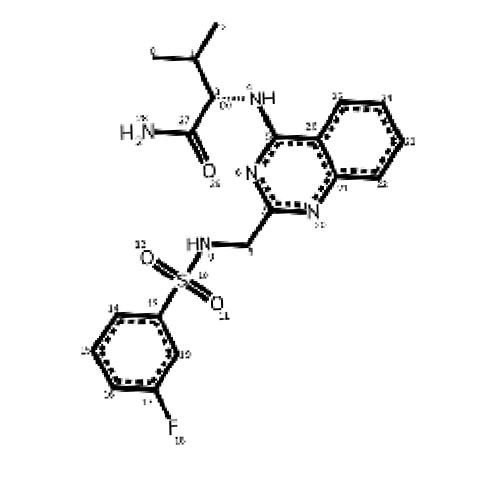 CC(C)[C@H](Nc1nc(CNS(=O)(=O)c2cccc(F)c2)nc2ccccc12)C(N)=O